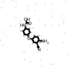 N#Cc1cc(Oc2ccc(NC(=O)O)cc2)ccc1N